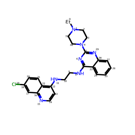 CCN1CCN(c2nc(NCCNc3ccnc4cc(Cl)ccc34)c3ccccc3n2)CC1